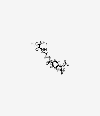 C=C(C)C(=O)NCCCNC(=O)c1ccc(C(N2C=N2)C(F)(F)F)cc1